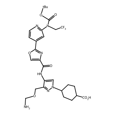 CC(C)(C)OC(=O)N(CC(F)(F)F)c1cc(-c2nc(C(=O)Nc3cn(C4CCC(C(=O)O)CC4)nc3COCN)co2)ccn1